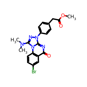 COC(=O)Cc1ccc(-n2nc(N(C)C)n3c4ccc(Br)cc4c(=O)nc23)cc1